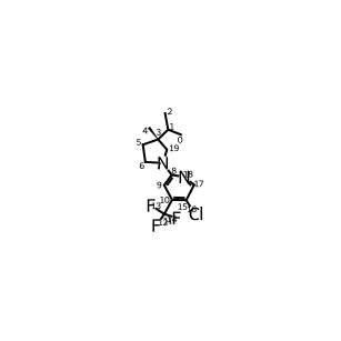 CC(C)[C@@]1(C)CCN(c2cc(C(F)(F)F)c(Cl)cn2)C1